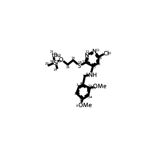 COc1ccc(CNc2cc(Cl)nnc2SCCO[Si](C)(C)C(C)(C)C)c(OC)c1